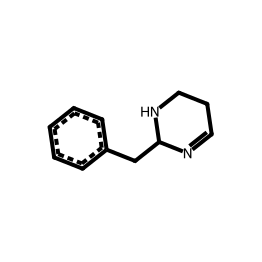 C1=NC(Cc2ccccc2)NCC1